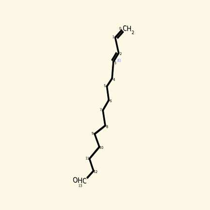 C=C/C=C/CCCCCCCCCC=O